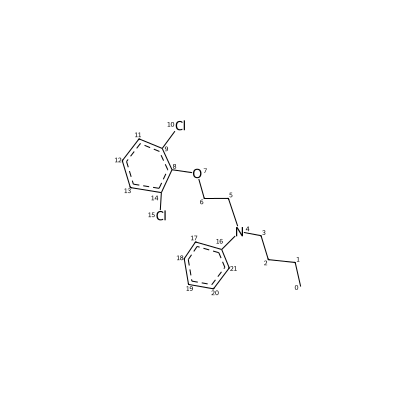 CCCCN(CCOc1c(Cl)cccc1Cl)c1ccccc1